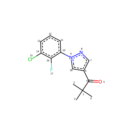 CC(C)(C)C(=O)c1cnn(-c2cccc(Cl)c2F)c1